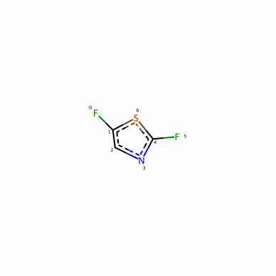 Fc1cnc(F)s1